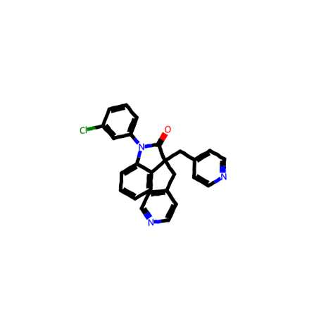 O=C1N(c2cccc(Cl)c2)c2ccccc2C1(Cc1ccncc1)Cc1ccncc1